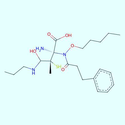 CCCCCON(C(=O)CCc1ccccc1)[C@](N)(C(=O)O)[C@](C)(S)C(O)NCCC